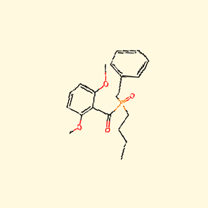 CCCCP(=O)(Cc1ccccc1)C(=O)c1c(OC)cccc1OC